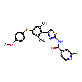 COc1ccc(Sc2cc(C)c(-c3csc(NC(=O)c4ccnc(F)c4)n3)c(C)c2)cc1